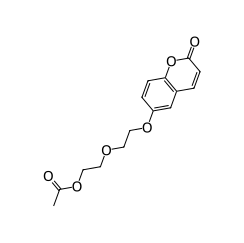 CC(=O)OCCOCCOc1ccc2oc(=O)ccc2c1